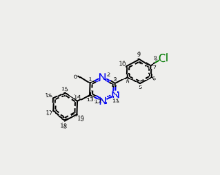 Cc1nc(-c2ccc(Cl)cc2)nnc1-c1ccccc1